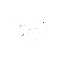 CNc1ccc(OC)cc1C1=CC=CC(C)C1